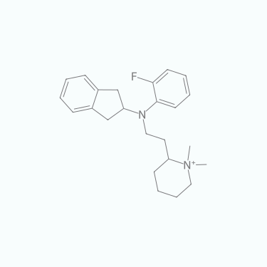 C[N+]1(C)CCCCC1CCN(c1ccccc1F)C1Cc2ccccc2C1